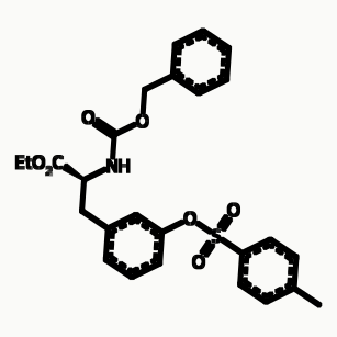 CCOC(=O)[C@H](Cc1cccc(OS(=O)(=O)c2ccc(C)cc2)c1)NC(=O)OCc1ccccc1